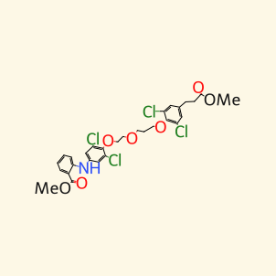 COC(=O)CCc1cc(Cl)c(OCCCOCCOc2c(Cl)cc(Nc3ccccc3C(=O)OC)cc2Cl)c(Cl)c1